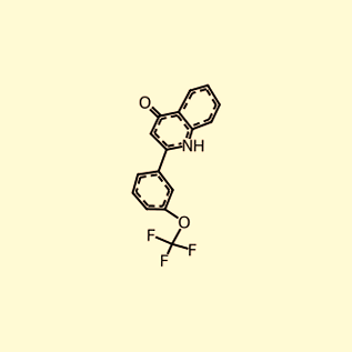 O=c1cc(-c2cccc(OC(F)(F)F)c2)[nH]c2ccccc12